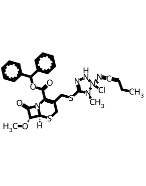 CCC=C=N[N+]1(Cl)NN=C(SCC2=C(C(=O)OC(c3ccccc3)c3ccccc3)N3C(=O)[C@@H](OC)[C@@H]3SC2)N1C